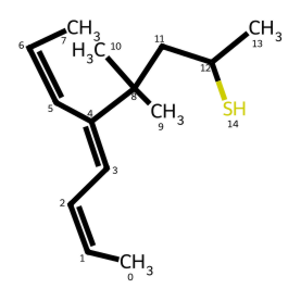 C\C=C/C=C(\C=C/C)C(C)(C)CC(C)S